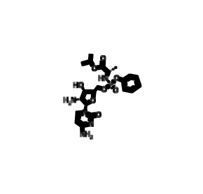 CC(C)OC(=O)[C@H](C)N[P@](=O)(OC[C@H]1O[C@@H](n2ccc(N)nc2=O)[C@H](N)[C@@H]1O)Oc1ccccc1